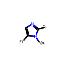 [2H]c1ncc(CC)n1CCCC